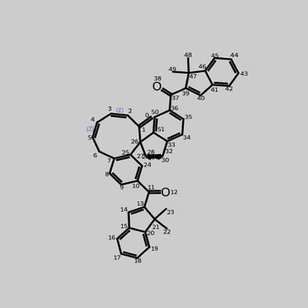 C=C1/C=C\C=C/Cc2ccc(C(=O)C3=Cc4ccccc4C3(C)C)cc2C12c1ccccc1-c1ccc(C(=O)C3=Cc4ccccc4C3(C)C)cc12